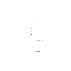 CC1O[C]1C1CCCCC1